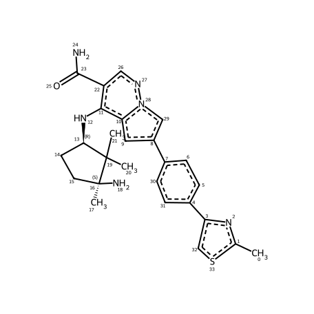 Cc1nc(-c2ccc(-c3cc4c(N[C@@H]5CC[C@](C)(N)C5(C)C)c(C(N)=O)cnn4c3)cc2)cs1